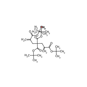 C=C(CC(CC(=C)C(=O)OC(C)(C)C)(C(=O)OC(C)(C)C)C(=O)OC(C)(C)C)C(=O)OC(C)(C)C